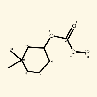 CC(C)OC(=O)OC1CCCC(C)(C)C1